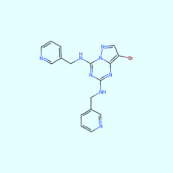 Brc1cnn2c(NCc3cccnc3)nc(NCc3cccnc3)nc12